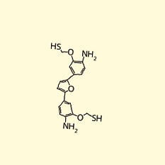 Nc1ccc(-c2ccc(-c3ccc(N)c(OCS)c3)o2)cc1OCS